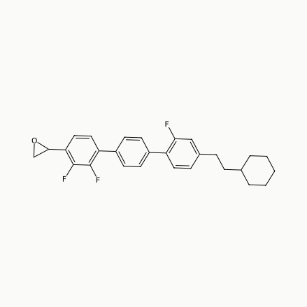 Fc1cc(CCC2CCCCC2)ccc1-c1ccc(-c2ccc(C3CO3)c(F)c2F)cc1